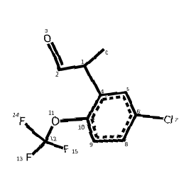 CC(C=O)c1cc(Cl)ccc1OC(F)(F)F